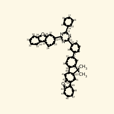 CC1(C)c2cc(-c3cccc(-c4nc(-c5ccccc5)nc(-c5ccc6c(c5)oc5ccccc56)n4)c3)ccc2-c2cc3oc4ccccc4c3cc21